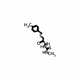 CNC(=S)NNC(=O)CSCc1ccc(C)cc1